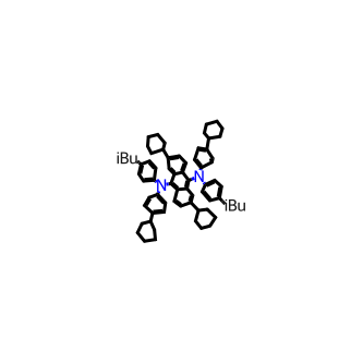 CCC(C)c1ccc(N(c2ccc(C3CCCCC3)cc2)c2c3ccc(C4CCCCC4)cc3c(N(c3ccc(C(C)CC)cc3)c3ccc(C4CCCCC4)cc3)c3ccc(C4CCCCC4)cc23)cc1